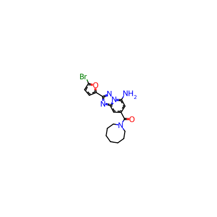 Nc1cc(C(=O)N2CCCCCCC2)cc2nc(-c3ccc(Br)o3)nn12